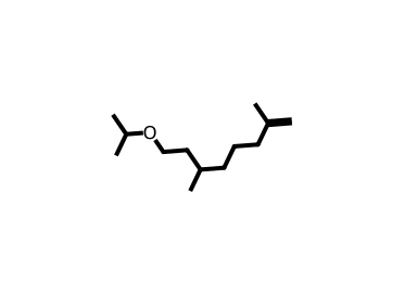 C=C(C)CCCC(C)CCOC(C)C